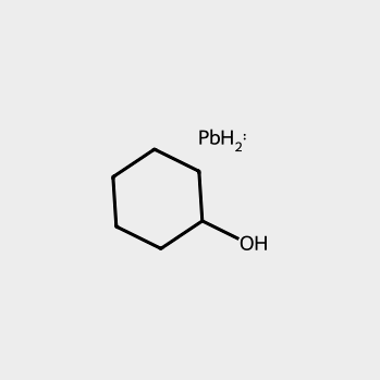 OC1CCCCC1.[PbH2]